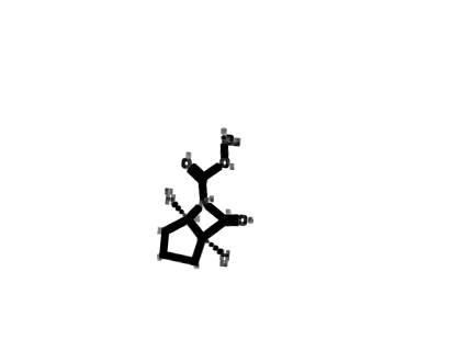 CC(C)(C)OC(=O)N1C(=O)[C@H]2CCC[C@H]21